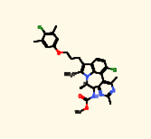 Cc1nc(C)c(-c2c(Cl)ccc3c(CCCOc4cc(C)c(Cl)c(C)c4)c(C(=O)O)n([C@H](C)CNC(=O)OC(C)(C)C)c23)c(C)n1